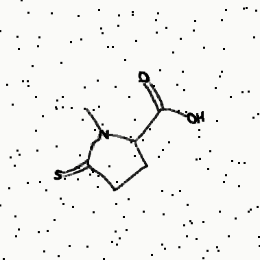 CN1C(=S)CCC1C(=O)O